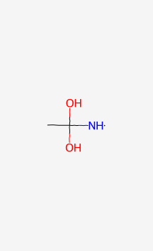 CC([NH])(O)O